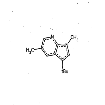 Cc1cnc2c(c1)c(C(C)(C)C)cn2C